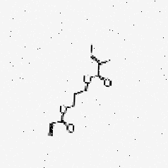 C=CC(=O)OCCCOC(=O)C(C)=CC